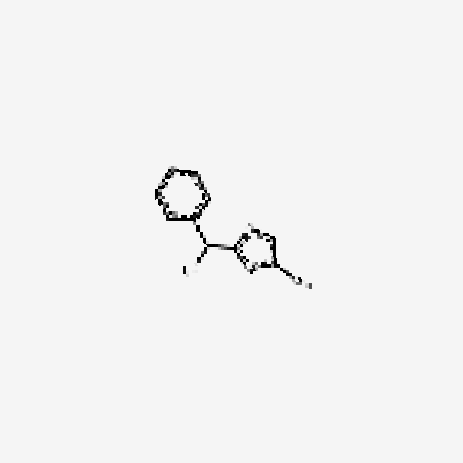 Cc1coc(C(C)c2ccccc2)n1